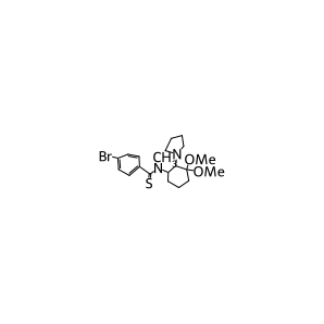 COC1(OC)CCCC(N(C)C(=S)c2ccc(Br)cc2)C1N1CCCC1